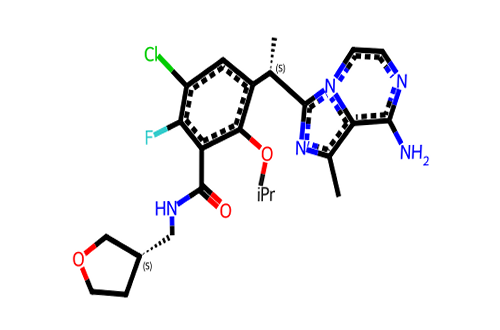 Cc1nc([C@@H](C)c2cc(Cl)c(F)c(C(=O)NC[C@@H]3CCOC3)c2OC(C)C)n2ccnc(N)c12